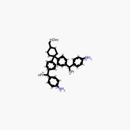 CCCCCCCCCCCC1CCC(c2ccc(C(CCC)c3ccc(N)cc3)cc2)(c2ccc(C(CCC)c3ccc(N)cc3)cc2)CC1